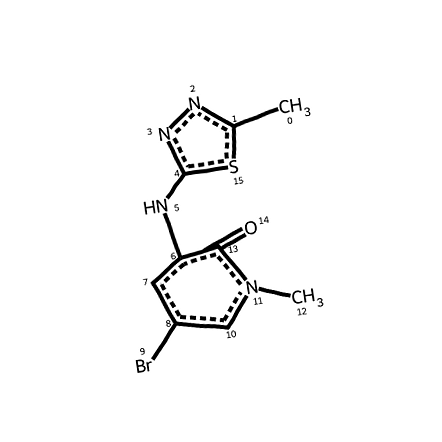 Cc1nnc(Nc2cc(Br)cn(C)c2=O)s1